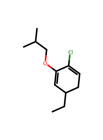 CCC1C=C(OCC(C)C)C(Cl)=CC1